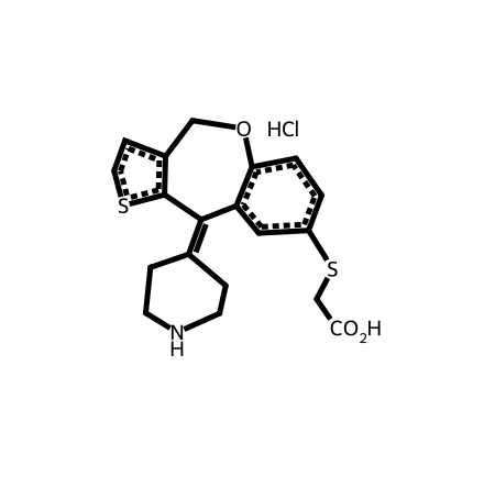 Cl.O=C(O)CSc1ccc2c(c1)C(=C1CCNCC1)c1sccc1CO2